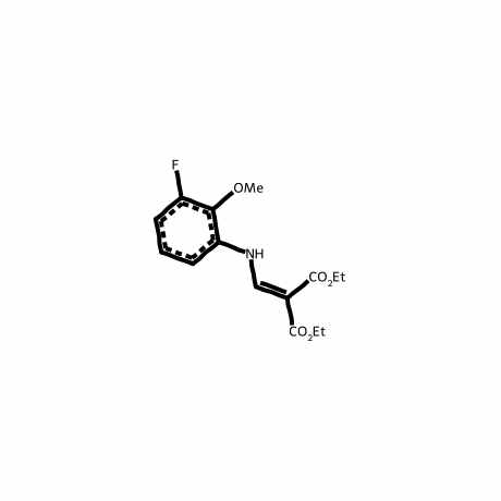 CCOC(=O)C(=CNc1cccc(F)c1OC)C(=O)OCC